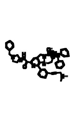 CCCC[S@@+]([O-])N1Cc2cc(C(=O)N[C@H]3CCN(Cc4ccccc4)C3)nc(-c3cccc(C#CCN(C)C)c3)c2[C@H]1CCO[Si](c1ccccc1)(c1ccccc1)C(C)(C)C